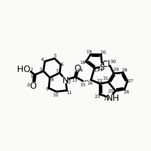 O=C(O)C1CCCC2C1CCCN2C(=O)C[C@H](c1cccs1)c1c[nH]c2cccc(Cl)c12